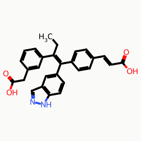 CCC(=C(c1ccc(C=CC(=O)O)cc1)c1ccc2[nH]ncc2c1)c1cccc(CC(=O)O)c1